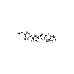 O=C(CN1C=Cc2sncc2C1)N1CCC(c2ccc(O)cc2)=N1